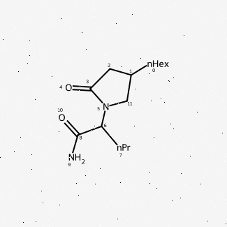 CCCCCCC1CC(=O)N(C(CCC)C(N)=O)C1